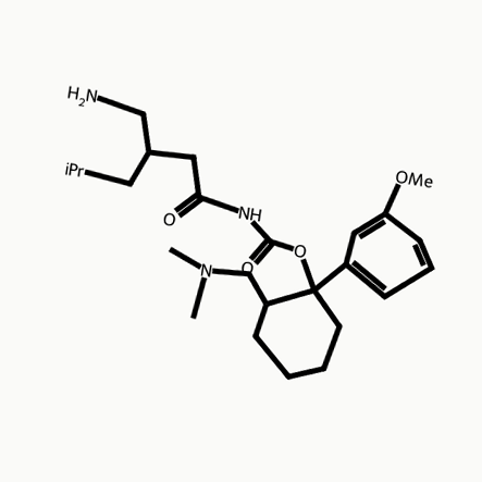 COc1cccc(C2(OC(=O)NC(=O)CC(CN)CC(C)C)CCCCC2CN(C)C)c1